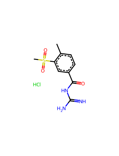 Cc1ccc(C(=O)NC(=N)N)cc1S(C)(=O)=O.Cl